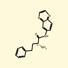 N[C@H](CCc1ccccc1)C(=O)Nc1ccc2nccnc2c1